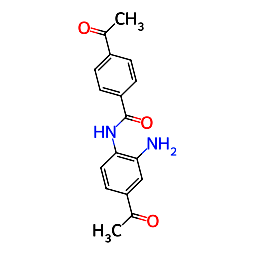 CC(=O)c1ccc(C(=O)Nc2ccc(C(C)=O)cc2N)cc1